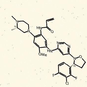 C=CC(=O)Nc1cc(Nc2cc(N3OCC[C@@H]3c3ccc(F)c(Cl)c3F)ncn2)c(OC)cc1N1CCN(C)[C@@H](C)C1